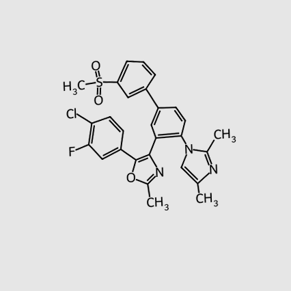 Cc1cn(-c2ccc(-c3cccc(S(C)(=O)=O)c3)cc2-c2nc(C)oc2-c2ccc(Cl)c(F)c2)c(C)n1